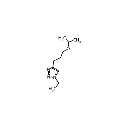 CCn1cc(CCCOC(C)C)nn1